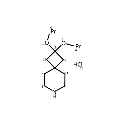 CC(C)OC1(OC(C)C)CC2(CCNCC2)C1.Cl